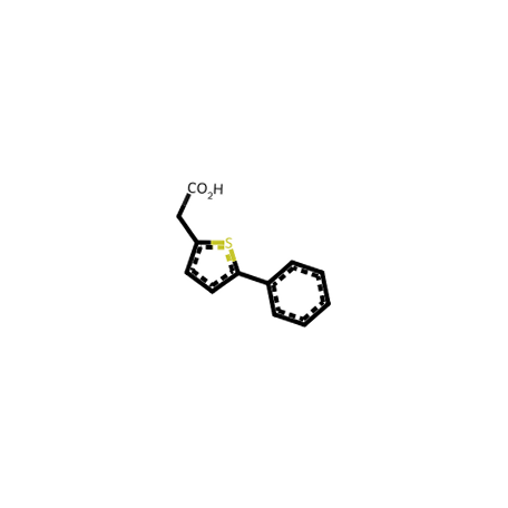 O=C(O)Cc1ccc(-c2ccccc2)s1